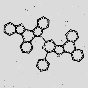 c1ccc(-c2nc(-n3c4ccccc4c4c5sc6ccccc6c5c5ccccc5c43)nc3c2sc2c4ccccc4c4ccccc4c32)cc1